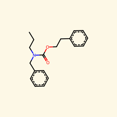 CCCN(Cc1ccccc1)C(=O)OCCc1ccccc1